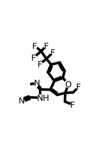 CN=C(NC#N)C1=CC(CF)(CF)Oc2ccc(C(F)(F)C(F)(F)F)cc21